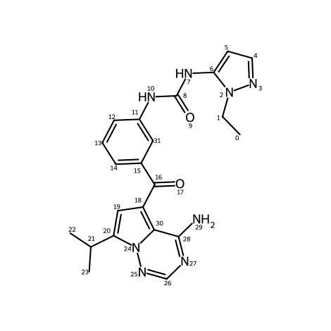 CCn1nccc1NC(=O)Nc1cccc(C(=O)c2cc(C(C)C)n3ncnc(N)c23)c1